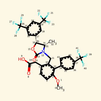 COc1ccc(CC(=O)O)c(CN2C(=O)O[C@H](c3cc(C(F)(F)F)cc(C(F)(F)F)c3)[C@@H]2C)c1-c1ccc(C(F)(F)F)cc1